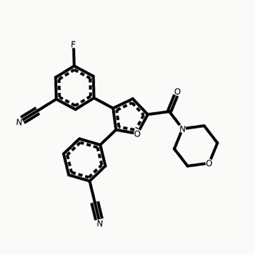 N#Cc1cc(F)cc(-c2cc(C(=O)N3CCOCC3)oc2-c2cccc(C#N)c2)c1